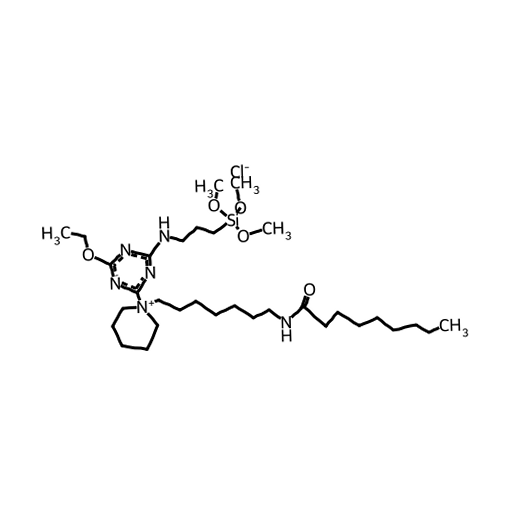 CCCCCCCCC(=O)NCCCCCCC[N+]1(c2nc(NCCC[Si](OC)(OC)OC)nc(OCC)n2)CCCCC1.[Cl-]